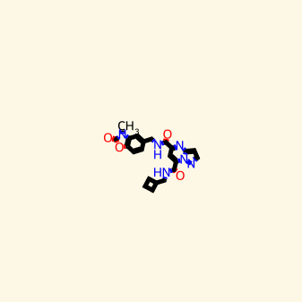 Cn1c(=O)oc2ccc(CNC(=O)c3cc(C(=O)NCC4CCC4)n4nccc4n3)cc21